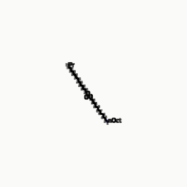 CCCCCCCC/C=C\CCCCCCCCCCCCOC(=O)OCCCCCCCCCCCCCCCC(C)C